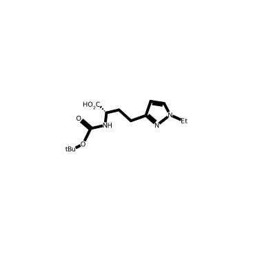 CCn1ccc(CC[C@H](NC(=O)OC(C)(C)C)C(=O)O)n1